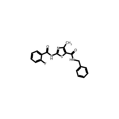 Cc1nc(NC(=O)c2ccccc2F)sc1C(=O)NCc1ccccc1